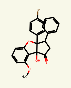 COc1cccc2c1C1(O)C(=O)CC(c3ccccc3)C1(c1ccc(Br)cc1)O2